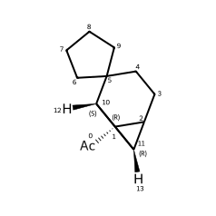 CC(=O)[C@@]12C3CCC4(CCCC4)[C@@H]1[C@@H]32